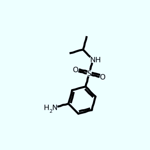 CC(C)NS(=O)(=O)c1cccc(N)c1